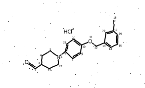 Cl.O=CC1CCN(c2ccc(OCc3cccc(F)c3)cc2)CC1